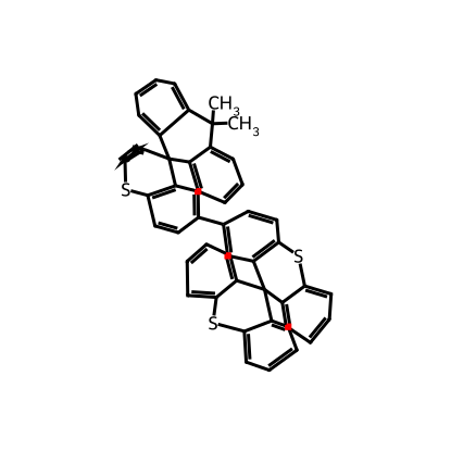 CC1(C)c2ccccc2C2(c3ccccc3Sc3ccc(-c4ccc5c(c4)C4(c6ccccc6Sc6ccccc64)c4ccccc4S5)cc32)c2ccccc21